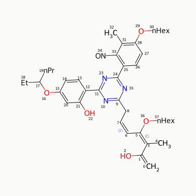 C=C(O)/C(C)=C(\C=C/Cc1nc(-c2ccc(OC(CC)CCC)cc2O)nc(-c2ccc(OCCCCCC)c(C)c2N=O)n1)OCCCCCC